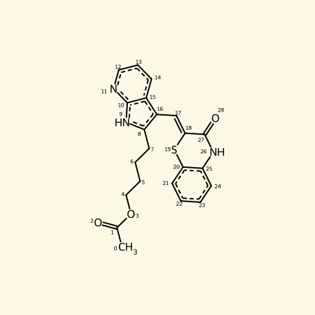 CC(=O)OCCCCc1[nH]c2ncccc2c1C=C1Sc2ccccc2NC1=O